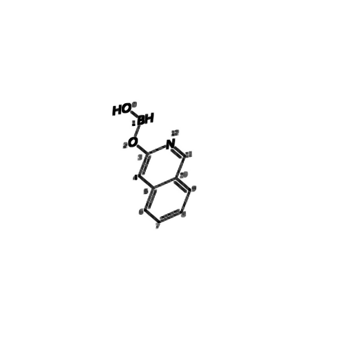 OBOc1cc2ccccc2cn1